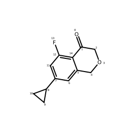 O=C1COCc2cc(C3CC3)cc(F)c21